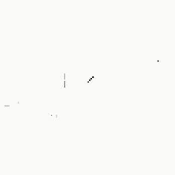 CCC(=O)N[C@H]([C]=O)CCCCN